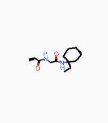 C=CC(=O)NCC(=O)NC1(CC)CCCCC1